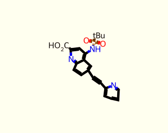 CC(C)(C)S(=O)(=O)Nc1cc(C(=O)O)nc2ccc(C#Cc3ccccn3)cc12